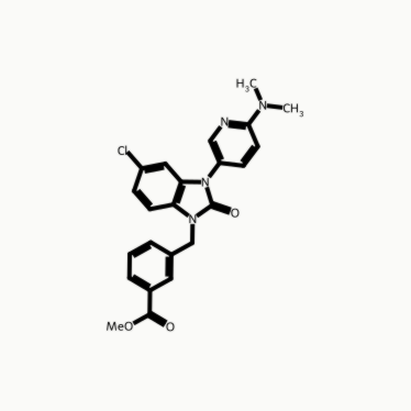 COC(=O)c1cccc(Cn2c(=O)n(-c3ccc(N(C)C)nc3)c3cc(Cl)ccc32)c1